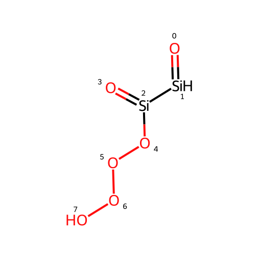 O=[SiH][Si](=O)OOOO